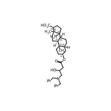 CC(C)CN(CC(C)C)CC(O)CC(=O)O[C@H]1CC[C@@]2(C)[C@H](CC[C@@H]3[C@@H]2CC[C@]2(C)[C@@H](C(=O)O)CC[C@]32N)C1